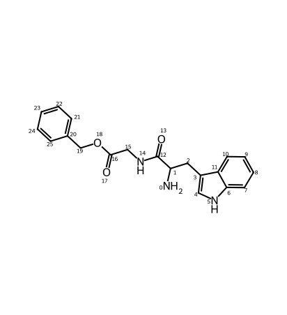 NC(Cc1c[nH]c2ccccc12)C(=O)NCC(=O)OCc1ccccc1